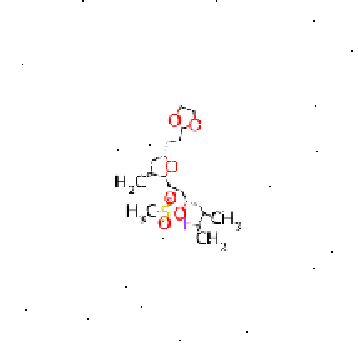 C=C(I)[C@H](C)C[C@@H](CC[C@@H]1O[C@@H](CCC2OCCO2)CC1=C)OS(C)(=O)=O